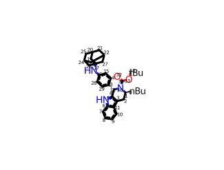 CCCC[C@H]1Cc2c([nH]c3ccccc23)[C@H](c2ccc(NC34CC5CC(CC(C5)C3)C4)cc2)N1C(=O)OC(C)(C)C